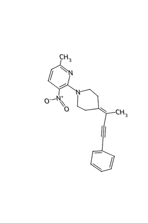 CC(C#Cc1ccccc1)=C1CCN(c2nc(C)ccc2[N+](=O)[O-])CC1